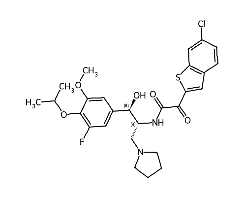 COc1cc([C@@H](O)[C@@H](CN2CCCC2)NC(=O)C(=O)c2cc3ccc(Cl)cc3s2)cc(F)c1OC(C)C